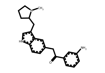 CN1CCCC1Cc1c[nH]c2ccc(CC(=O)c3cccc(N)c3)cc12